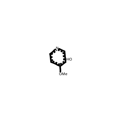 COc1ccncc1.[OH]